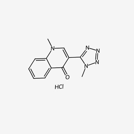 Cl.Cn1nnnc1-c1cn(C)c2ccccc2c1=O